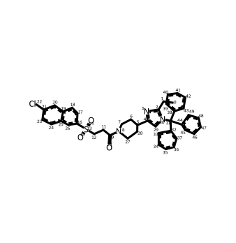 CCc1nc(C2CCN(C(=O)CCS(=O)(=O)c3ccc4cc(Cl)ccc4c3)CC2)cn1C(c1ccccc1)(c1ccccc1)c1ccccc1